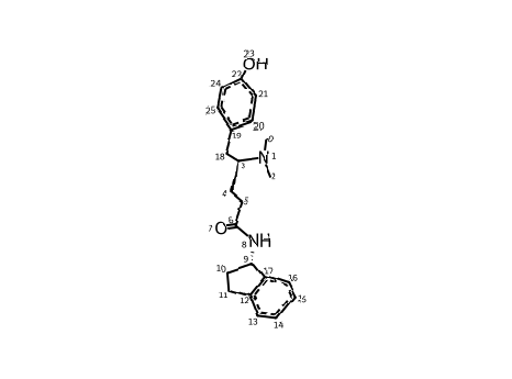 CN(C)[C@@H](CCC(=O)N[C@H]1CCc2ccccc21)Cc1ccc(O)cc1